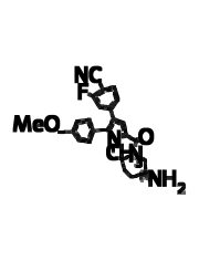 COCc1ccc(-c2c(-c3ccc(C#N)c(F)c3)cc(C(=O)N3CCC[C@@H](N)C3)n2C)cc1